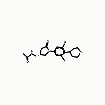 CC(=O)NC[C@H]1CN(c2cc(F)c(C3CCSCC3)c(F)c2)C(=O)O1